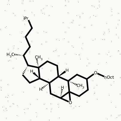 CCCCCCCCOC1CCC23O[C@H]2C[C@H]2[C@@H]4CC[C@H]([C@H](C)CCCC(C)C)[C@@]4(C)CC[C@@H]2[C@@]3(C)C1